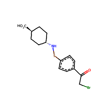 O=C(CBr)c1ccc(SN[C@H]2CC[C@H](C(=O)O)CC2)cc1